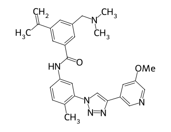 C=C(C)c1cc(CN(C)C)cc(C(=O)Nc2ccc(C)c(-n3cc(-c4cncc(OC)c4)nn3)c2)c1